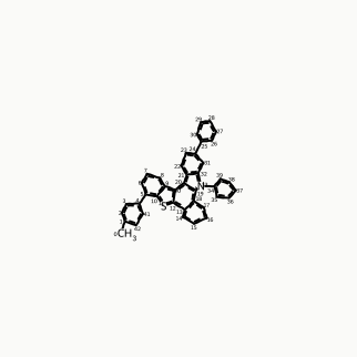 Cc1ccc(-c2cccc3c2sc2c4ccccc4c4c(c5ccc(-c6ccccc6)cc5n4-c4ccccc4)c32)cc1